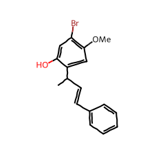 COc1cc(C(C)C=Cc2ccccc2)c(O)cc1Br